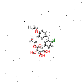 CCOc1ccc(Cc2cc([C@@H]3O[C@H](OCCO)[C@@H](O)[C@H](O)[C@H]3O)ccc2Cl)cc1